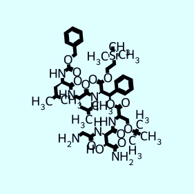 CC(C)C[C@H](NC(=O)[C@@H](CC(C)C)NC(=O)OCc1ccccc1)C(=O)N[C@H](C(=O)OCC[Si](C)(C)C)[C@H](OC(=O)C(COC(C)(C)C)NC(=O)[C@@H](NC(=O)CN)[C@H](O)C(N)=O)c1ccccc1